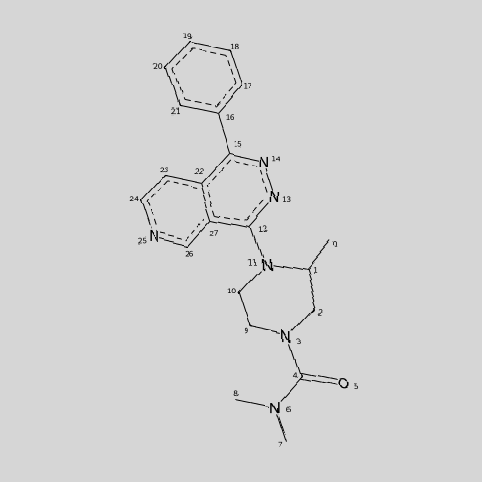 CC1CN(C(=O)N(C)C)CCN1c1nnc(-c2ccccc2)c2ccncc12